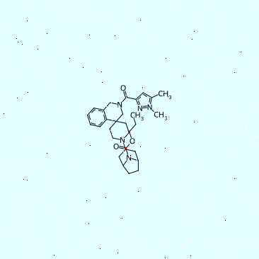 CCCOC(=O)N1C2CCC1CC(N1CCC3(CC1)CN(C(=O)c1cc(C)n(C)n1)Cc1ccccc13)C2